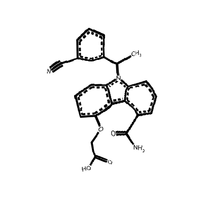 CC(c1cccc(C#N)c1)n1c2cccc(OCC(=O)O)c2c2c(C(N)=O)cccc21